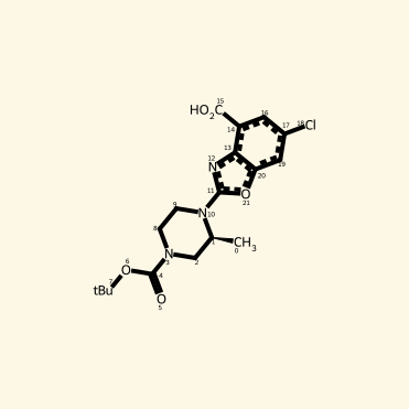 C[C@H]1CN(C(=O)OC(C)(C)C)CCN1c1nc2c(C(=O)O)cc(Cl)cc2o1